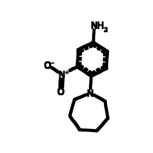 Nc1ccc(N2CCCCCC2)c([N+](=O)[O-])c1